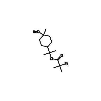 CCC(C)(C)C(=O)OC(C)(C)C1CCC(C)(OC(C)=O)CC1